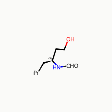 CC(C)C[C@@H](CCO)N[C]=O